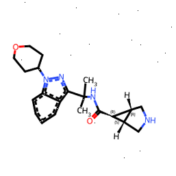 CC(C)(NC(=O)[C@H]1[C@@H]2CNC[C@@H]21)c1nn(C2CCOCC2)c2ccccc12